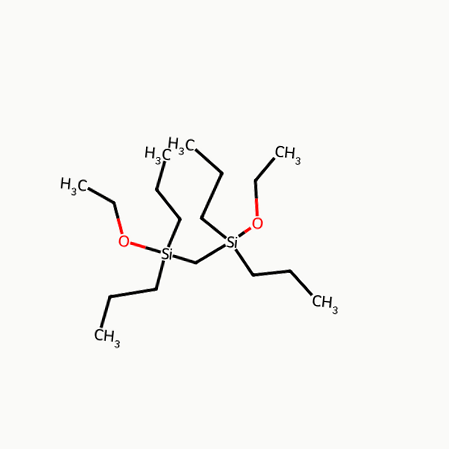 CCC[Si](CCC)(C[Si](CCC)(CCC)OCC)OCC